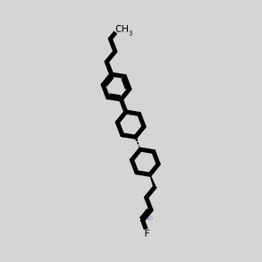 CCCCc1ccc(C2CCC([C@H]3CC[C@H](CC/C=C/F)CC3)CC2)cc1